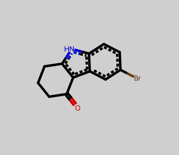 O=C1CCCc2[nH]c3ccc(Br)cc3c21